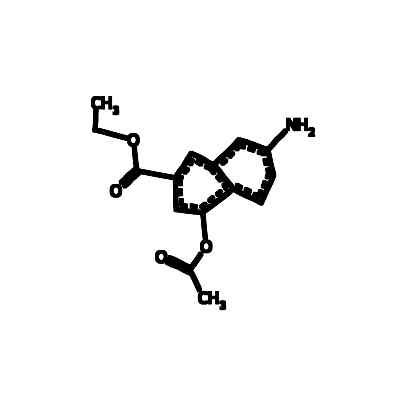 CCOC(=O)c1cc(OC(C)=O)c2ccc(N)cc2c1